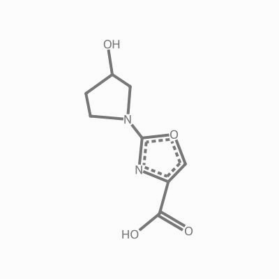 O=C(O)c1coc(N2CCC(O)C2)n1